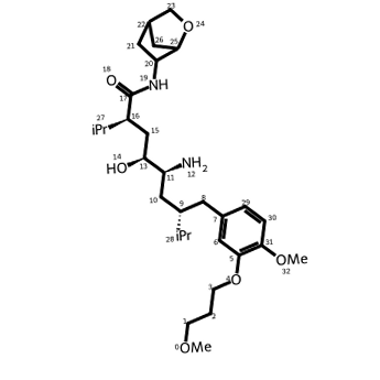 COCCCOc1cc(C[C@@H](C[C@H](N)[C@@H](O)C[C@H](C(=O)NC2CC3COC2C3)C(C)C)C(C)C)ccc1OC